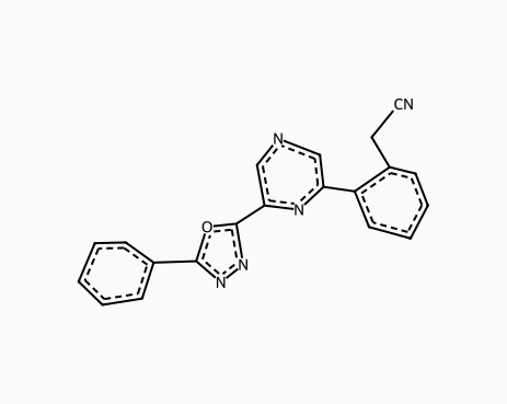 N#CCc1ccccc1-c1cncc(-c2nnc(-c3ccccc3)o2)n1